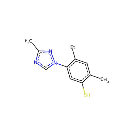 CCc1cc(C)c(S)cc1-n1cnc(C(F)(F)F)n1